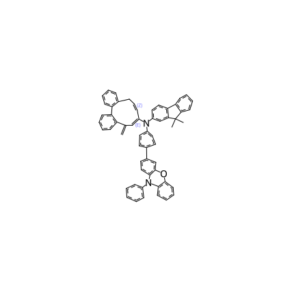 C=C1/C=C(N(c2ccc(-c3ccc4c(c3)Oc3ccccc3N4c3ccccc3)cc2)c2ccc3c(c2)C(C)(C)c2ccccc2-3)\C=C/Cc2ccccc2-c2ccccc21